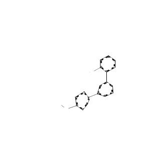 COc1ccc(-c2c[c]cc(-c3ccccc3O)c2)cc1